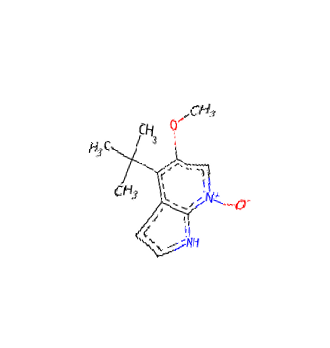 COc1c[n+]([O-])c2[nH]ccc2c1C(C)(C)C